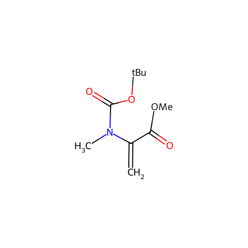 C=C(C(=O)OC)N(C)C(=O)OC(C)(C)C